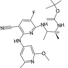 C=C(N[C@@H](C)C(C)Nc1nc(Nc2cc(CC)nc(OC)c2)c(C#N)cc1F)OC(C)(C)C